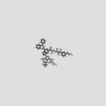 CCC(=O)N[C@H]1C[C@@H](n2cnc3c(NCC(c4ccccc4)c4ccccc4)nc(C(=O)NCCNC(=O)Nc4cccc(OC)c4)nc32)[C@H](O)[C@@H]1OC(=O)C(F)(F)F